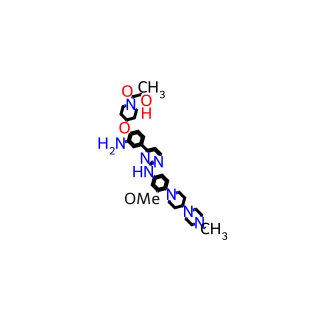 COc1cc(Nc2nccc(-c3ccc(OC4CCN(C(=O)[C@H](C)O)CC4)c(N)c3)n2)ccc1N1CCC(N2CCN(C)CC2)CC1